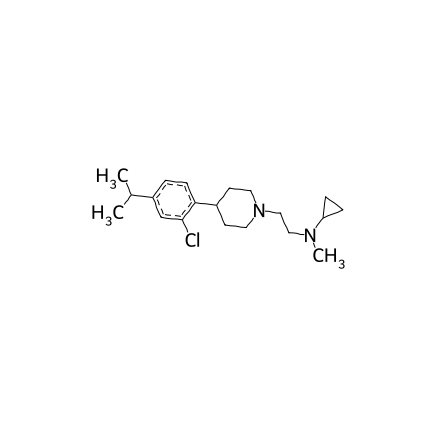 CC(C)c1ccc(C2CCN(CCN(C)C3CC3)CC2)c(Cl)c1